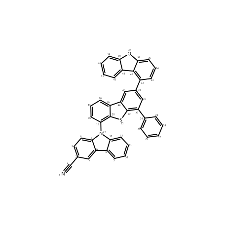 N#Cc1ccc2c(c1)c1ccccc1n2-c1cccc2c1sc1c(-c3ccccc3)cc(-c3cccc4oc5ccccc5c34)cc12